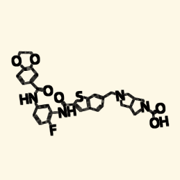 O=C(Nc1ccc(F)c(NC(=O)c2cc3ccc(CN4CC5CN(C(=O)O)CC5C4)cc3s2)c1)c1ccc2c(c1)OCCO2